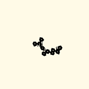 c1ccc(-c2cc(-c3ccccc3)nc(-c3ccc(-n4c5ccccc5c5cc(-c6cccc7c(-c8cccc9c8sc8ccccc89)cccc67)ccc54)cc3)n2)cc1